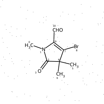 CN1C(=O)C(C)(C)C(Br)=C1C=O